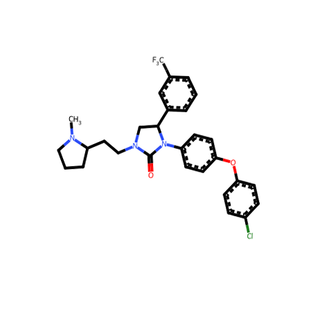 CN1CCCC1CCN1CC(c2cccc(C(F)(F)F)c2)N(c2ccc(Oc3ccc(Cl)cc3)cc2)C1=O